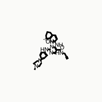 C#CCNC(=O)c1cnc(Nc2ccc(N3CCN(C)CC3)cc2)nc1Nc1ccc2c(n1)[C@@](C)(O)CCC2